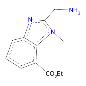 CCOC(=O)c1cccc2nc(CN)n(C)c12